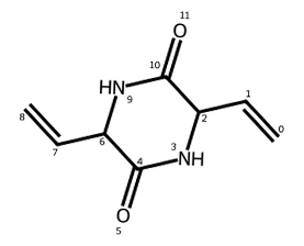 C=CC1NC(=O)C(C=C)NC1=O